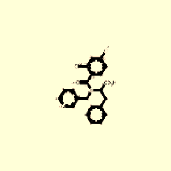 O=C(O)C(Cc1ccccc1)N(Cc1cccnc1)C(=O)c1ccc(Cl)cc1Cl